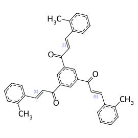 Cc1ccccc1/C=C/C(=O)c1cc(C(=O)/C=C/c2ccccc2C)cc(C(=O)/C=C/c2ccccc2C)c1